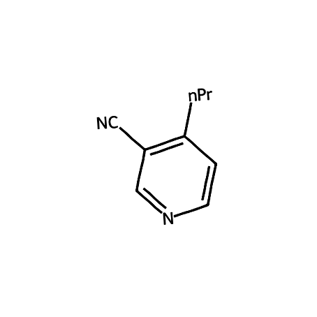 CCCc1ccncc1C#N